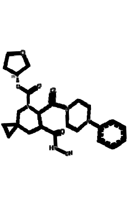 O=C(NO)C1CC2(CC2)CN(C(=O)O[C@@H]2CCOC2)C1C(=O)N1CCN(c2ccccc2)CC1